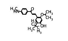 CNc1ccc(C(=O)C=Cc2cc(C(C)(C)C)c(O)cc2OC(C)C)cc1